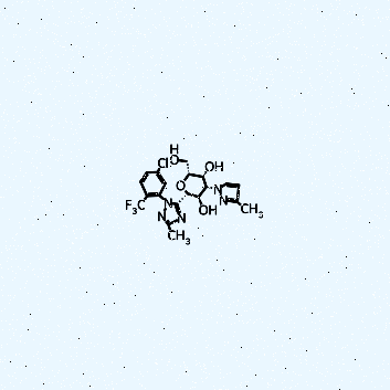 Cc1ccn([C@H]2[C@@H](O)[C@@H](CO)O[C@@H](c3nc(C)nn3-c3cc(Cl)ccc3C(F)(F)F)[C@@H]2O)n1